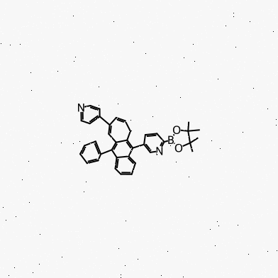 CC1(C)OB(c2ccc(-c3c4c(c(-c5ccccc5)c5ccccc35)C=C(c3ccncc3)C=CC4)cn2)OC1(C)C